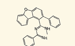 CN/C(=N\C(=N)c1ccccc1)c1c(-c2ccccc2)ccc2oc3ccccc3c12